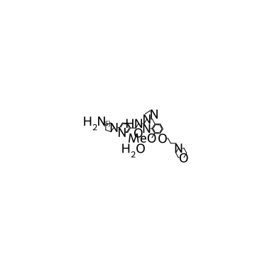 COc1c(OCCCN2CCOCC2)ccc2c1N=C(NC(=O)c1ccc(N3CC[C@H](N)C3)nc1)N1CCN=C21.O